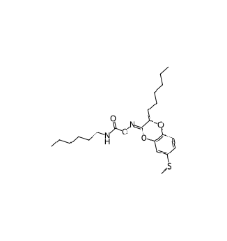 CCCCCCNC(=O)ON=C1Oc2cc(SC)ccc2OC1CCCCCC